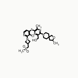 Cc1nc(N2CCC3(CC2)CO[C@@H](C)C3)c(CO)nc1Sc1ccnc(N2CC(CS(C)(=O)=O)C2)c1Cl